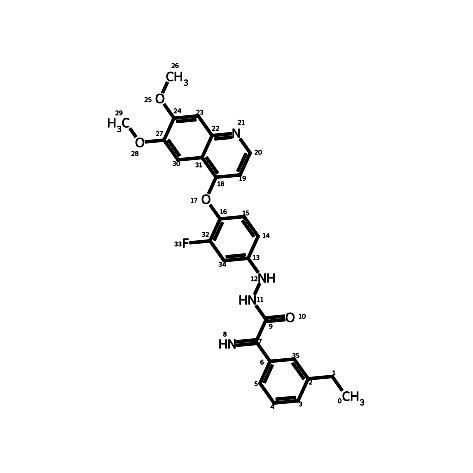 CCc1cccc(C(=N)C(=O)NNc2ccc(Oc3ccnc4cc(OC)c(OC)cc34)c(F)c2)c1